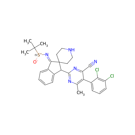 Cc1nc(C2c3ccccc3C(=N[S@+]([O-])C(C)(C)C)C23CCNCC3)nc(C#N)c1-c1cccc(Cl)c1Cl